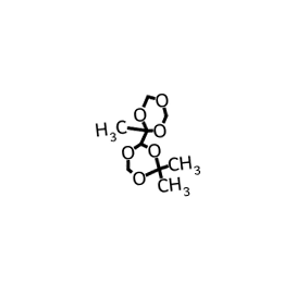 CC1(C)OCOC(C2(C)OCOCO2)O1